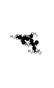 Cc1ccc(N(c2ccc3c(c2)C(C)(C)c2cc(-c4ccc(C(C)(C)C)cc4)c4oc5ccccc5c4c2-3)c2ccc3c(c2)C(C)(C)c2cc(-c4ccc(C(C)(C)C)cc4)c4oc5ccccc5c4c2-3)c(C)c1